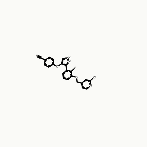 N#Cc1ccc(Oc2c[nH]nc2-c2cccc(OCc3ccnc(Cl)c3)c2F)cc1